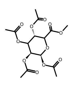 COC(=O)C1O[C@@H](OC(C)=O)[C@@H](OC(C)=O)C(OC(C)=O)[C@@H]1OC(C)=O